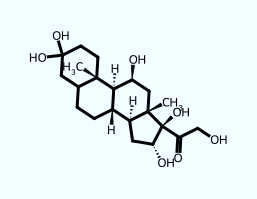 C[C@]12CCC(O)(O)CC1CC[C@@H]1[C@@H]2[C@@H](O)C[C@@]2(C)[C@H]1C[C@@H](O)[C@@]2(O)C(=O)CO